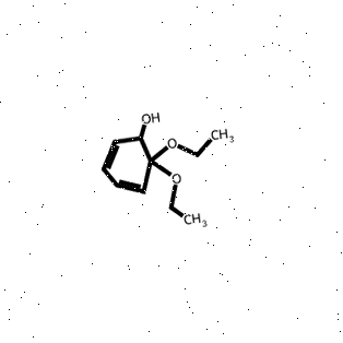 CCOC1(OCC)C=CC=CC1O